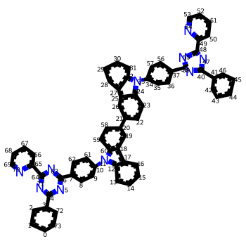 c1ccc(-c2nc(-c3ccc(-n4c5ccccc5c5cc(-c6ccc7c(c6)c6ccccc6n7-c6ccc(-c7nc(-c8ccccc8)nc(-c8ccccn8)n7)cc6)ccc54)cc3)nc(-c3ccccn3)n2)cc1